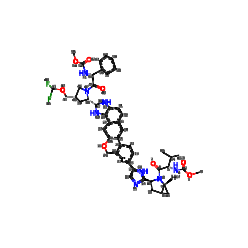 COC(=O)N[C@H](C(=O)N1[C@@H]2CC2C[C@H]1c1ncc(-c2ccc3c(c2)COc2cc4c5c(ccc4cc2-3)NC([C@@H]2C[C@H](COC(F)F)CN2C(=O)[C@H](NC(=O)OC)c2ccccc2)N5)[nH]1)C(C)C